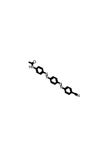 CC(=O)Nc1ccc(N=Nc2ccc(N=Nc3ccc(C#N)cc3)cc2)cc1